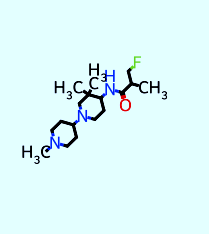 CC(CF)C(=O)NC1CCN(C2CCN(C)CC2)CC1(C)C